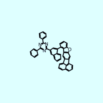 c1ccc(-c2nc(-c3ccccc3)nc(-c3cc(-c4cccc5oc6cc7c(cc6c45)-c4cccc5cccc-7c45)c4ccccc4c3)n2)cc1